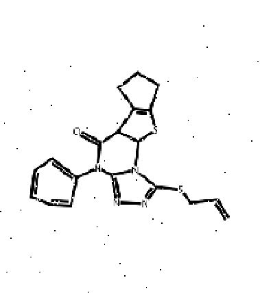 C=CCSc1nnc2n1C1SC3=C(CCC3)C1C(=O)N2c1ccccc1